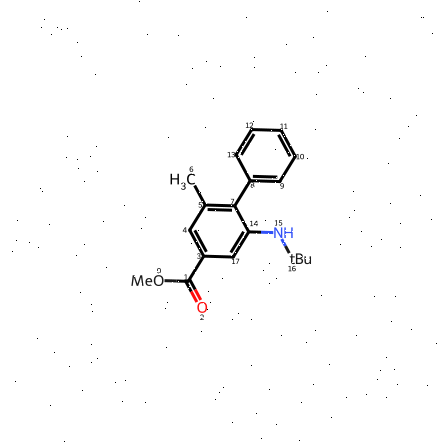 COC(=O)c1cc(C)c(-c2ccccc2)c(NC(C)(C)C)c1